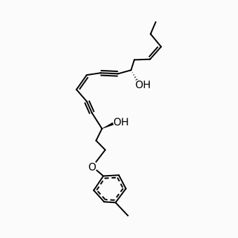 CC/C=C\C[C@H](O)C#C/C=C\C#C[C@@H](O)CCOc1ccc(C)cc1